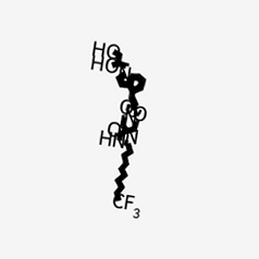 O=C1NC(CCCCCCCCC(F)(F)F)=NC12CCN(S(=O)(=O)C=Cc1cccc3c1ccn3CC(O)CO)CC2